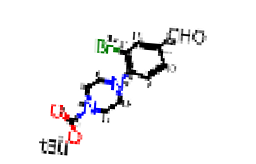 CC(C)(C)OC(=O)N1CCN(c2ccc(C=O)cc2Br)CC1